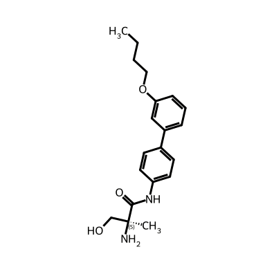 CCCCOc1cccc(-c2ccc(NC(=O)[C@@](C)(N)CO)cc2)c1